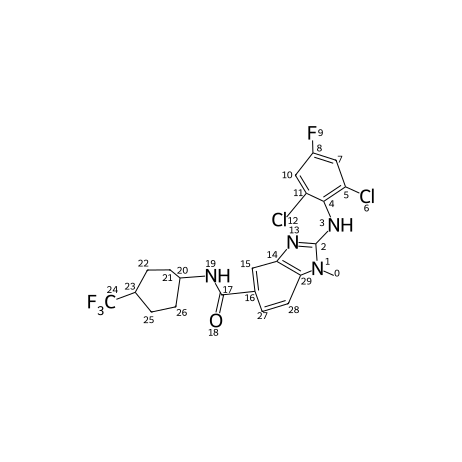 Cn1c(Nc2c(Cl)cc(F)cc2Cl)nc2cc(C(=O)NC3CCC(C(F)(F)F)CC3)ccc21